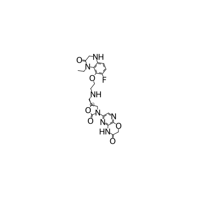 CCN1C(=O)CNc2ccc(F)c(OCCNC[C@H]3CN(c4cnc5c(n4)NC(=O)CO5)C(=O)O3)c21